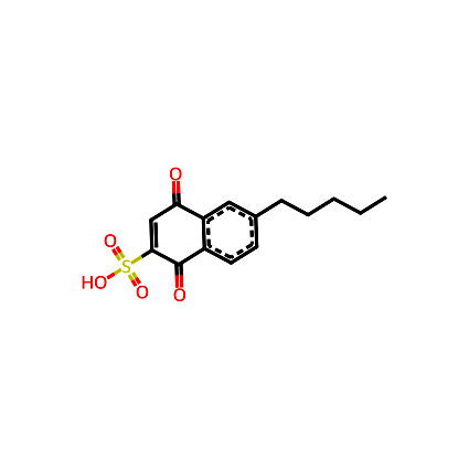 CCCCCc1ccc2c(c1)C(=O)C=C(S(=O)(=O)O)C2=O